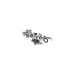 CO[C@@H]1[C@H](CC(=O)NC[C@H]2O[C@@H](n3cnc4c(=O)[nH]c(N)nc43)[C@H](O)[C@@H]2O)[C@@H](COP(=O)(O)OP(=O)(O)OP(=O)(O)O)O[C@H]1n1cnc2c1/N=C\CC/C=C\2N